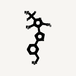 Cn1nc(C(F)(F)C(F)(F)F)c(C(F)(F)F)c1-n1cnc(-c2cccc(CN)c2)c1